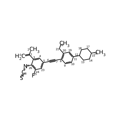 C=C(C)c1cc(C#Cc2ccc(C3CCC(C)CC3)cc2CC)cc(F)c1N=C=S